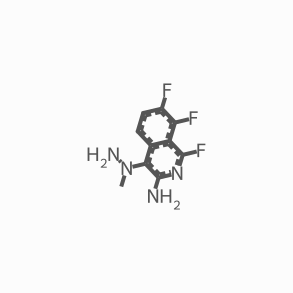 CN(N)c1c(N)nc(F)c2c(F)c(F)ccc12